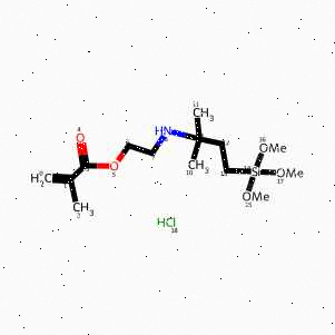 C=C(C)C(=O)OCCNC(C)(C)CC[Si](OC)(OC)OC.Cl